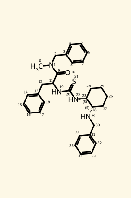 CN(Cc1ccccc1)C(=O)C(Cc1ccccc1)NC(=S)N[C@H]1CCCC[C@@H]1NCc1ccccc1